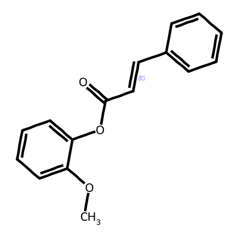 COc1ccccc1OC(=O)/C=C/c1ccccc1